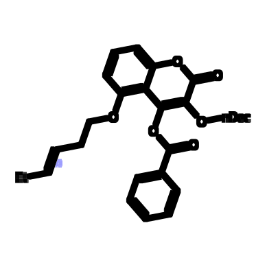 CC/C=C/CCOc1cccc2oc(=O)c(OCCCCCCCCCC)c(OC(=O)c3ccccc3)c12